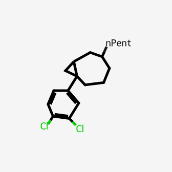 CCCCCC1CCCC2(c3ccc(Cl)c(Cl)c3)CC2C1